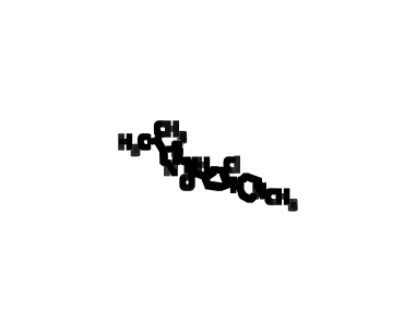 CC(C)c1cnc(NC(=O)c2ccc(N3CCN(C)CC3)c(Cl)c2)s1